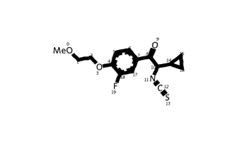 COCCOc1ccc(C(=O)C(N=C=S)C2CC2)cc1F